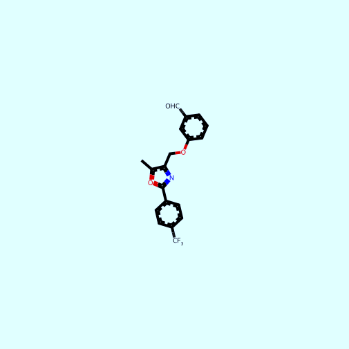 Cc1oc(-c2ccc(C(F)(F)F)cc2)nc1COc1cccc(C=O)c1